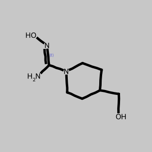 N/C(=N\O)N1CCC(CO)CC1